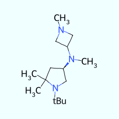 CN1CC(N(C)[C@H]2CN(C(C)(C)C)C(C)(C)C2)C1